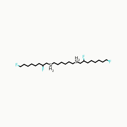 FCCCCCCC(F)C[SiH2]CCCCCC[SiH2]CC(F)CCCCCCF